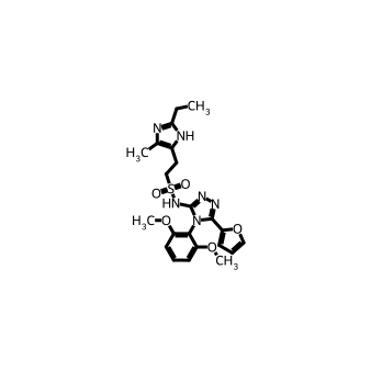 CCc1nc(C)c(CCS(=O)(=O)Nc2nnc(-c3ccco3)n2-c2c(OC)cccc2OC)[nH]1